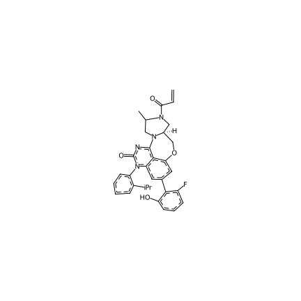 C=CC(=O)N1C[C@H]2COc3cc(-c4c(O)cccc4F)cc4c3c(nc(=O)n4-c3ccccc3C(C)C)N2CC1C